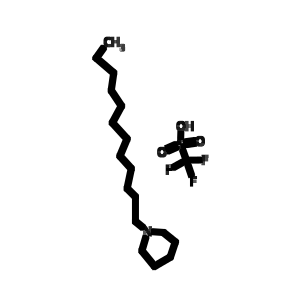 CCCCCCCCCCCCN1CCCCC1.O=S(=O)(O)C(F)(F)F